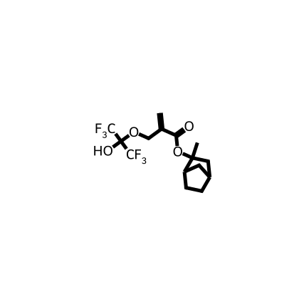 C=C(COC(O)(C(F)(F)F)C(F)(F)F)C(=O)OC1(C)CC2CCC1C2